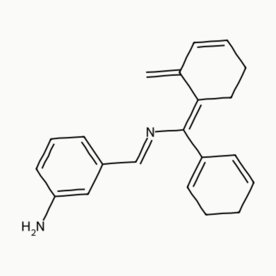 C=C1C=CCC/C1=C(/N=C/c1cccc(N)c1)C1=CCCC=C1